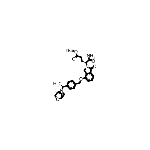 C[C@H](c1ccc(COc2cccc3c2CN([C@@H](CCC(=O)OC(C)(C)C)C(N)=O)C3=O)cc1)N1CC2CC1CO2